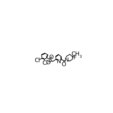 CC1(F)CCN(C(=O)c2cccc(CS(=O)(=O)c3cccc(Cl)c3Cl)n2)CC1